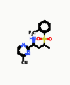 C[C@@H](CC(=N)c1nccc(C#N)n1)S(=O)(=O)c1ccccc1C(F)(F)F